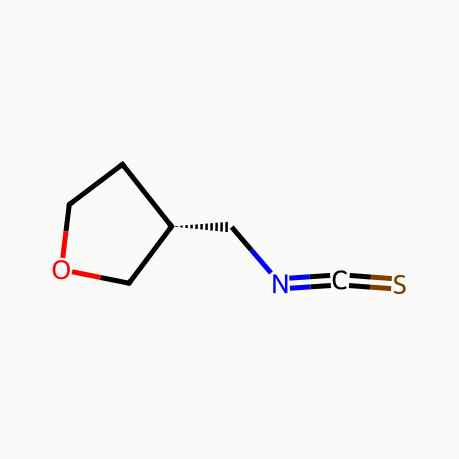 S=C=NC[C@H]1CCOC1